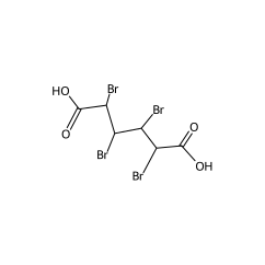 O=C(O)C(Br)C(Br)C(Br)C(Br)C(=O)O